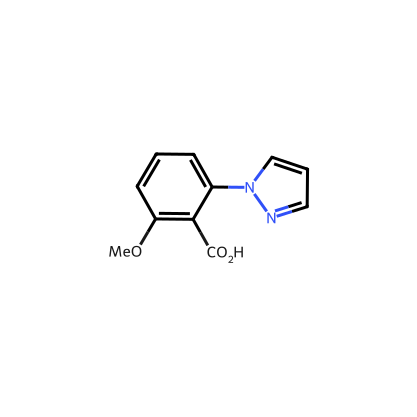 COc1cccc(-n2cccn2)c1C(=O)O